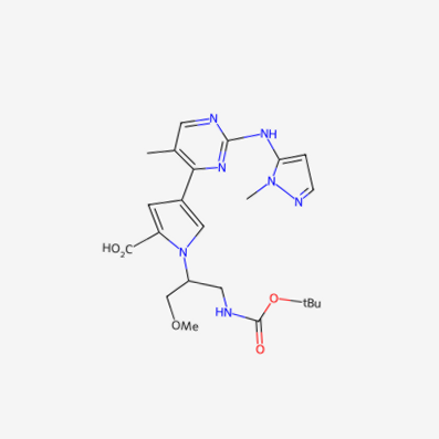 COCC(CNC(=O)OC(C)(C)C)n1cc(-c2nc(Nc3ccnn3C)ncc2C)cc1C(=O)O